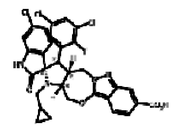 O=C(O)c1ccc2c3n(nc2c1)C[C@@H]1[C@H](CO3)N(CC2CC2)[C@@]2(C(=O)Nc3cc(Cl)ccc32)[C@H]1c1cc(Cl)cc(Cl)c1F